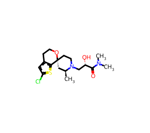 C[C@H]1C[C@@]2(CCN1C[C@H](O)C(=O)N(C)C)OCCc1cc(Cl)sc12